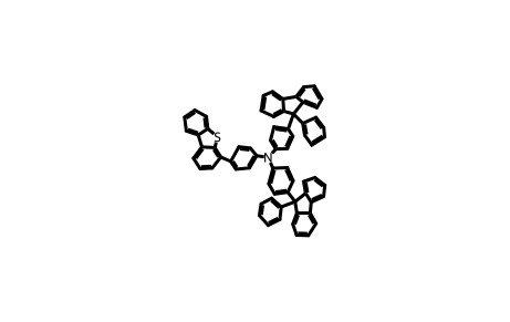 c1ccc(C2(c3ccc(N(c4ccc(-c5cccc6c5sc5ccccc56)cc4)c4ccc(C5(c6ccccc6)c6ccccc6-c6ccccc65)cc4)cc3)c3ccccc3-c3ccccc32)cc1